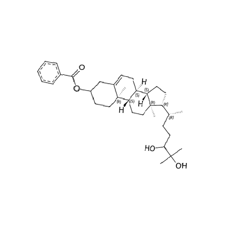 C[C@H](CCC(O)C(C)(C)O)[C@H]1CC[C@H]2[C@@H]3CC=C4CC(OC(=O)c5ccccc5)CC[C@]4(C)[C@H]3CC[C@]12C